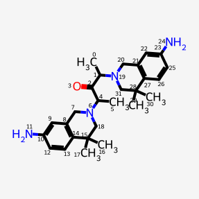 CC(C(=O)C(C)N1Cc2cc(N)ccc2C(C)(C)C1)N1Cc2cc(N)ccc2C(C)(C)C1